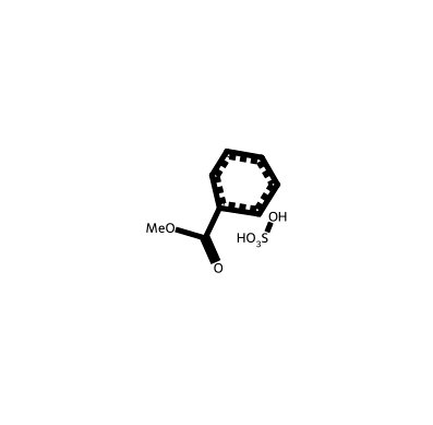 COC(=O)c1ccccc1.O=S(=O)(O)O